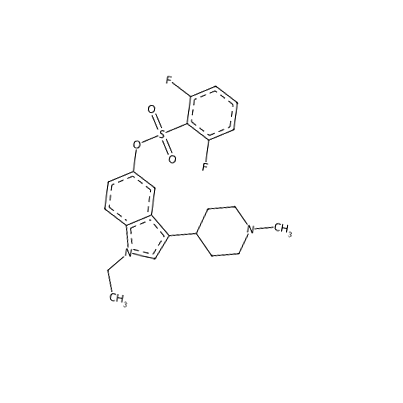 CCn1cc(C2CCN(C)CC2)c2cc(OS(=O)(=O)c3c(F)cccc3F)ccc21